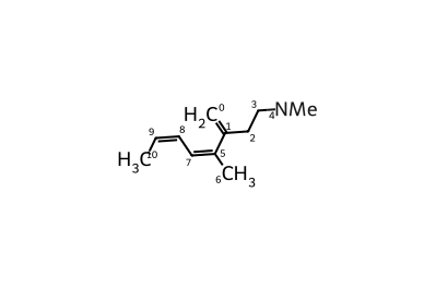 C=C(CCNC)/C(C)=C\C=C/C